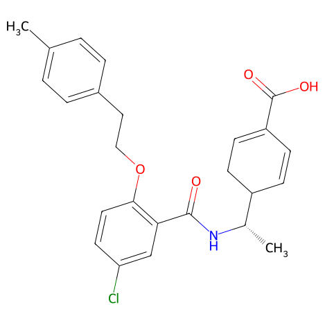 Cc1ccc(CCOc2ccc(Cl)cc2C(=O)N[C@@H](C)C2C=CC(C(=O)O)=CC2)cc1